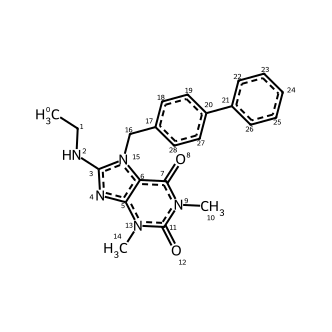 CCNc1nc2c(c(=O)n(C)c(=O)n2C)n1Cc1ccc(-c2ccccc2)cc1